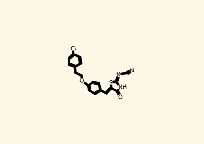 N#C/N=C1\NC(=O)/C(=C/c2ccc(OCCc3ccc(Cl)cc3)cc2)S1